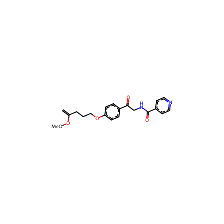 C=C(CCCOc1ccc(C(=O)CNC(=O)c2ccncc2)cc1)OOC